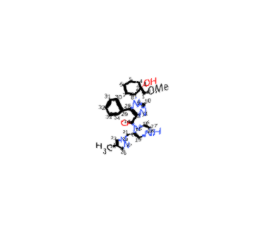 COC[C@]1(O)CCCC[C@H]1n1cnc(C(=O)N2CCNC[C@H]2Cn2cc(C)cn2)c1-c1ccccc1